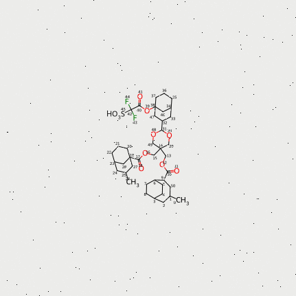 CC1CC2CCC(CC2)C(C(=O)OCC2(COC(=O)C34CCCC(CC(C)C3)C4)COC(C3CC4CCCC(OC(=O)C(F)(F)S(=O)(=O)O)(C4)C3)OC2)C1